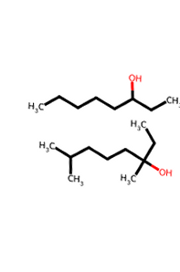 CCC(C)(O)CCCC(C)C.CCCCCC(O)CC